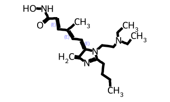 C=c1nc(CCCC)n(CCN(CC)CC)/c1=C/C=C(C)/C=C/C(=O)NO